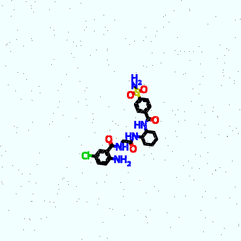 Nc1ccc(Cl)cc1C(=O)NCC(=O)NC1CCCCC1NC(=O)c1ccc(S(N)(=O)=O)cc1